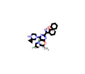 C[C@H](Oc1nc(-c2noc3c2CCC[C@@]32CCCCC2=O)nc(N2CCNC3(CC3)C2)c1Cl)[C@@H]1C[C@@H](F)CN1C